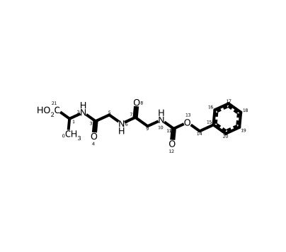 CC(NC(=O)CNC(=O)CNC(=O)OCc1ccccc1)C(=O)O